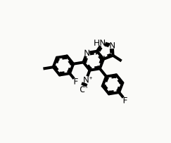 [C-]#[N+]c1c(-c2ccc(C)cc2F)nc2[nH]nc(C)c2c1-c1ccc(F)cc1